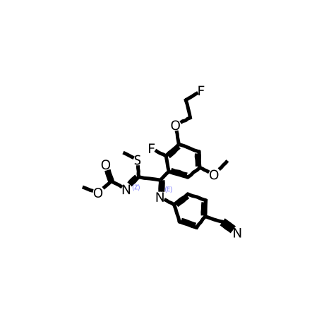 COC(=O)/N=C(SC)/C(=N/c1ccc(C#N)cc1)c1cc(OC)cc(OCCF)c1F